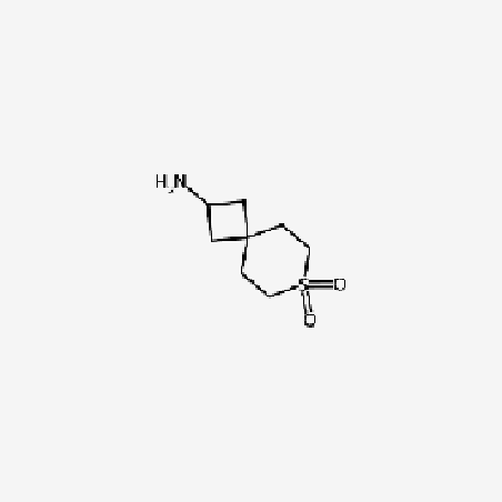 NC1CC2(CCS(=O)(=O)CC2)C1